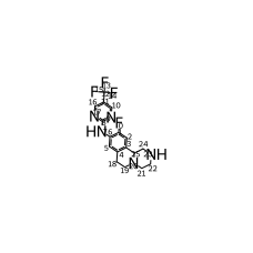 Fc1cc2c(cc1Nc1ncc(C(F)(F)F)cn1)CCN1CCNCC21